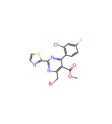 COC(=O)c1c(CBr)nc(-c2nccs2)nc1-c1ccc(F)cc1Cl